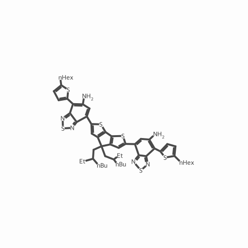 CCCCCCc1ccc(-c2c(N)cc(-c3cc4c(s3)-c3sc(-c5cc(N)c(-c6ccc(CCCCCC)s6)c6nsnc56)cc3C4(CC(CC)CCCC)CC(CC)CCCC)c3nsnc23)s1